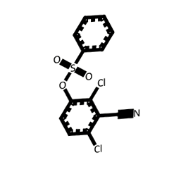 N#Cc1c(Cl)ccc(OS(=O)(=O)c2ccccc2)c1Cl